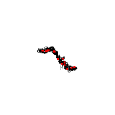 C=CC(=O)Nc1cc(Nc2nc(N3CCC[C@@H](N4CCn5c(cc6c5CC(C)(C)C6)C4=O)[C@@H]3C(C)O)cn(C)c2=O)ccc1N1CCN(C2CCN(c3cccc4c3CN(C3CCC(C)(OP(=O)(O)O)CC3)C4=O)[C@@H](C)C2)C[C@@H]1C